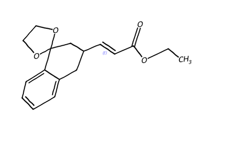 CCOC(=O)/C=C/C1Cc2ccccc2C2(C1)OCCO2